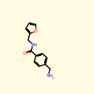 NCc1ccc(C(=O)NCc2ccco2)cc1